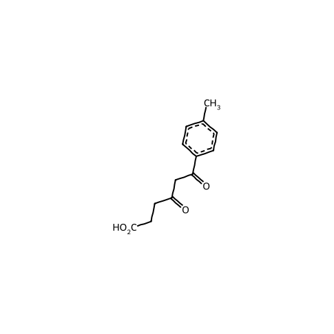 Cc1ccc(C(=O)CC(=O)CCC(=O)O)cc1